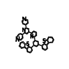 c1cc(-c2cc(-c3cccc4c3sc3ccccc34)cc(-c3cccc4c3sc3ccccc34)c2)nc(-c2cc(-c3ccncc3)nc(-c3ccncc3)c2)c1